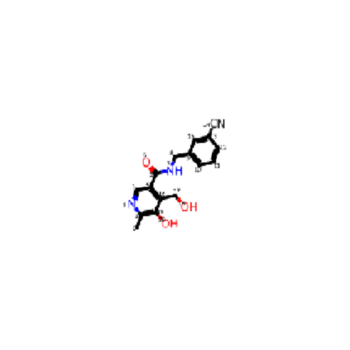 Cc1ncc(C(=O)NCc2cccc(C#N)c2)c(CO)c1O